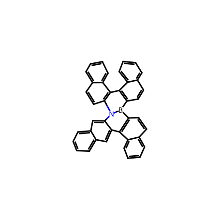 c1ccc2cc3c(cc2c1)-c1c(ccc2ccccc12)B1c2ccc4ccccc4c2-c2c(ccc4ccccc24)N13